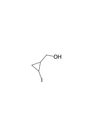 OCC1CC1I